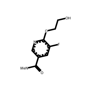 CNC(=O)c1cnc(OCCO)c(F)c1